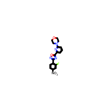 O=[N+]([O-])c1ccc(-c2noc(-c3cccc(N4CCOCC4)n3)n2)c(F)c1